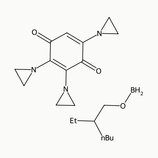 BOCC(CC)CCCC.O=C1C=C(N2CC2)C(=O)C(N2CC2)=C1N1CC1